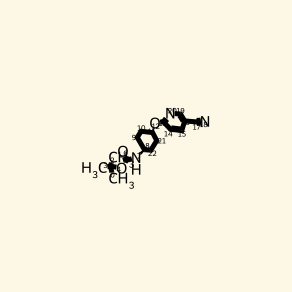 CC(C)(C)OC(=O)N[C@H]1CC[C@H](Oc2ccc(C#N)cn2)CC1